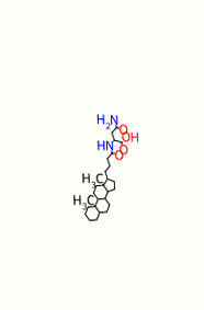 CC12CCCCC1CCC1C2CCC2(C)C(CCCC(=O)NC(CC(N)=O)C(=O)O)CCC12